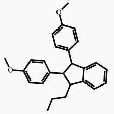 CCCC1c2cc[c]cc2C(c2ccc(OC)cc2)C1c1ccc(OC)cc1